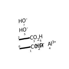 CC(=O)O.CC(=O)O.[Al+3].[OH-].[OH-].[OH-]